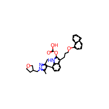 Cc1nn(CC2CCOC2)c(C)c1-c1cccc2c(CCCOc3cccc4ccccc34)c(OC(=O)O)[nH]c12